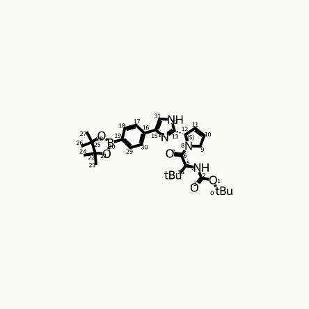 CC(C)(C)OC(=O)NC(C(=O)N1CC=C[C@H]1c1nc(-c2ccc(B3OC(C)(C)C(C)(C)O3)cc2)c[nH]1)C(C)(C)C